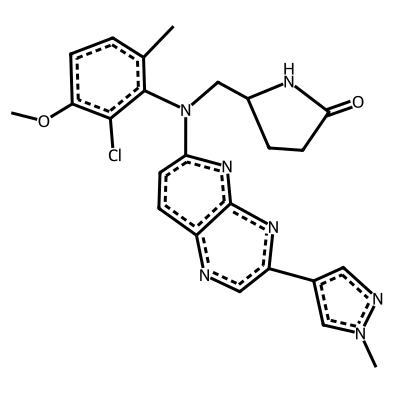 COc1ccc(C)c(N(CC2CCC(=O)N2)c2ccc3ncc(-c4cnn(C)c4)nc3n2)c1Cl